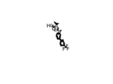 CN(C(=O)CN(C(=O)O)C1CC1)c1cccc(-c2ccc(C(F)(F)F)cc2)c1